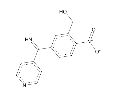 N=C(c1ccncc1)c1ccc([N+](=O)[O-])c(CO)c1